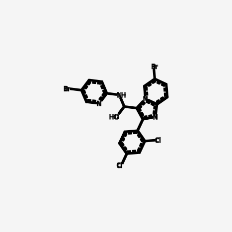 OC(Nc1ccc(Br)cn1)c1c(-c2ccc(Cl)cc2Cl)nc2ccc(Br)cn12